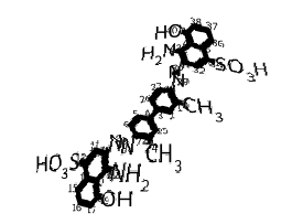 Cc1cc(-c2ccc(N=Nc3cc(S(=O)(=O)O)c4cccc(O)c4c3N)c(C)c2)ccc1N=Nc1cc(S(=O)(=O)O)c2cccc(O)c2c1N